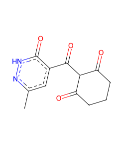 Cc1cc(C(=O)C2C(=O)CCCC2=O)c(=O)[nH]n1